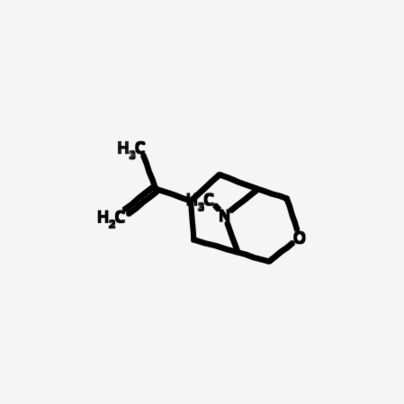 C=C(C)C1CC2COCC(C1)N2C